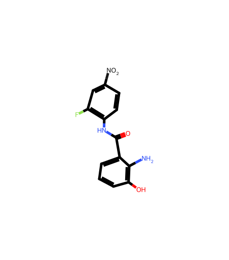 Nc1c(O)cccc1C(=O)Nc1ccc([N+](=O)[O-])cc1F